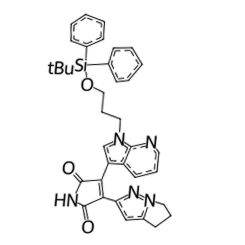 CC(C)(C)[Si](OCCCn1cc(C2=C(c3cc4n(n3)CCC4)C(=O)NC2=O)c2cccnc21)(c1ccccc1)c1ccccc1